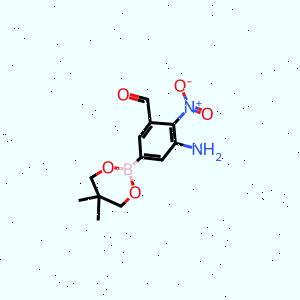 CC1(C)COB(c2cc(N)c([N+](=O)[O-])c(C=O)c2)OC1